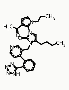 CCCCc1cn(-c2c(C(C)=O)ccn2CCC)c(=O)n1Cc1cnccc1-c1ccccc1-c1nnn[nH]1